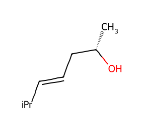 CC(C)/C=C/C[C@H](C)O